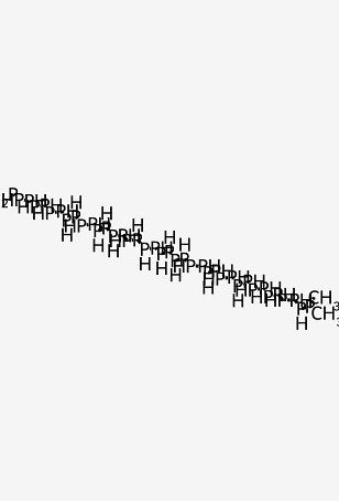 CP(C)PPPPPPPPPPPPPPPPPPPPPPPPPPPPPPPPPPPPPP